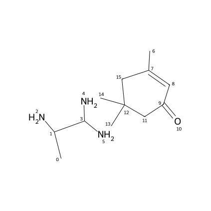 CC(N)C(N)N.CC1=CC(=O)CC(C)(C)C1